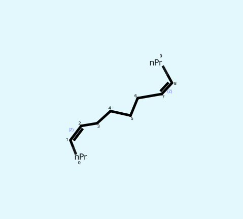 [CH2]CC/C=C\CCCC/C=C\CCC